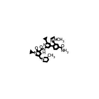 C[C@H]1CCCN(Cc2cc(C(=O)Nc3cc(-c4ccc(C(N)=O)cc4-c4nccn4C)cc(C4CC4)n3)c(=O)n(C3CC3)c2)C1